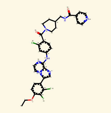 CCOc1ccc(-c2cnc3c(Nc4ccc(C(=O)N5CCC(CNC(=O)c6ccncc6)CC5)c(Cl)c4)nccn23)c(F)c1F